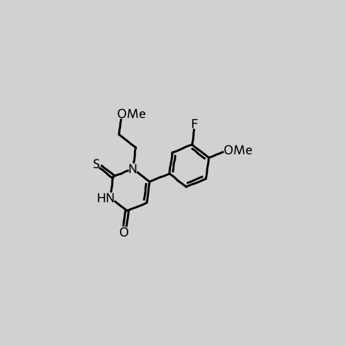 COCCn1c(-c2ccc(OC)c(F)c2)cc(=O)[nH]c1=S